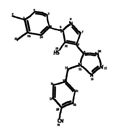 Cc1ccc(-n2ncc(-c3nnnn3Cc3ccc(C#N)cc3)c2S)cc1C